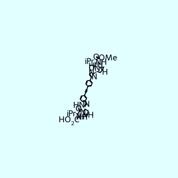 COC(=O)N[C@H](C(=O)N1[C@@H]2C[C@H]2C[C@H]1c1nc(-c2ccc(C#Cc3ccc4[nH]c([C@@H]5C[C@H]6C[C@H]6N5C(=O)[C@@H](NC(=O)O)C(C)C)nc4c3)cc2)c[nH]1)C(C)C